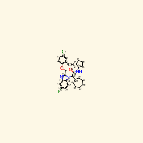 Cc1cc(Cl)ccc1OCc1nc2cc(F)ccc2n1C(C(=O)NC1CCCC1)C1CCCCCC1